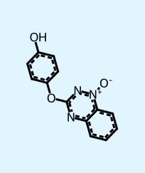 [O-][n+]1nc(Oc2ccc(O)cc2)nc2ccccc21